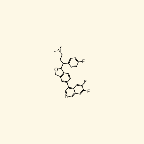 CN(C)CCC(c1ccc(F)cc1)C1OCc2cc(-c3cncc4cc(F)c(F)cc34)ccc21